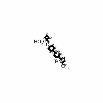 O=C(O)C1(COc2ccc(-c3ccc(-c4ncc(C(F)(F)F)[nH]4)cn3)cc2)CCC1